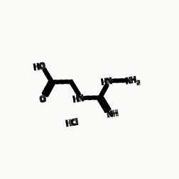 Cl.N=C(NN)NCC(=O)O